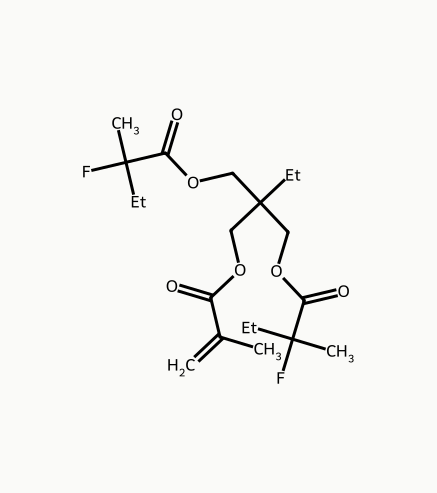 C=C(C)C(=O)OCC(CC)(COC(=O)C(C)(F)CC)COC(=O)C(C)(F)CC